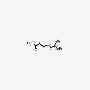 CCCN(CCC)COCCC(C)[O]